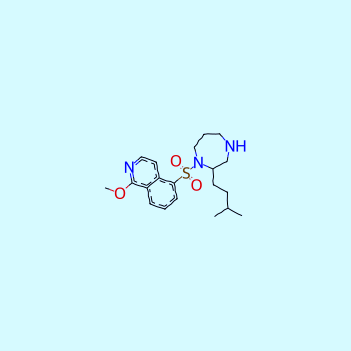 COc1nccc2c(S(=O)(=O)N3CCCNCC3CCC(C)C)cccc12